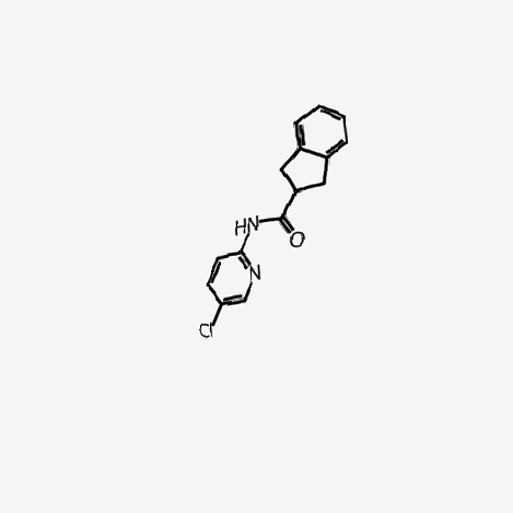 O=C(Nc1ccc(Cl)cn1)C1Cc2ccccc2C1